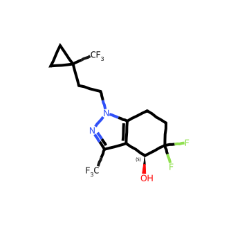 O[C@H]1c2c(C(F)(F)F)nn(CCC3(C(F)(F)F)CC3)c2CCC1(F)F